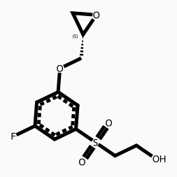 O=S(=O)(CCO)c1cc(F)cc(OC[C@@H]2CO2)c1